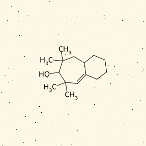 CC1(C)C=C2CCCCC2CC(C)(C)C1O